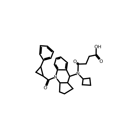 O=C(O)CCC(=O)N(C1CCC1)C1c2ccccc2N(C(=O)C2CC2c2ccccc2)C2CCCC21